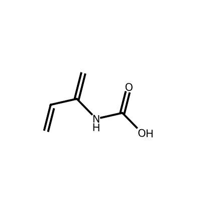 C=CC(=C)NC(=O)O